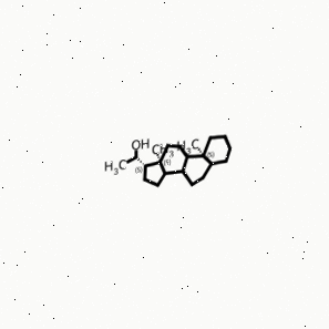 CC(O)[C@H]1CCC2C3CCC4CCCC[C@]4(C)C3CC[C@@]21C